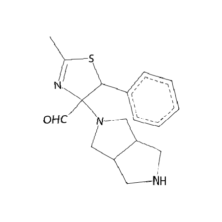 CC1=NC(C=O)(N2CC3CNCC3C2)C(c2ccccc2)S1